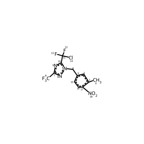 Cc1cc(Cn2nc(C(F)(F)F)nc2C(F)(F)Cl)ccc1[N+](=O)[O-]